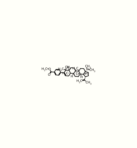 C=C(C)[C@@H]1CC[C@]2(N(C)C)CC[C@]3(C)[C@H](CC[C@@H]4[C@@]5(C)CC=C(c6ccc(C(=O)OC)cc6)C(C)(C)[C@@H]5CC[C@]43C)[C@@H]12